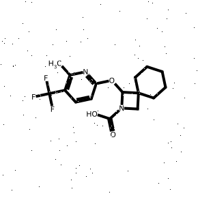 Cc1nc(OC2N(C(=O)O)CC23CCCCC3)ccc1C(F)(F)F